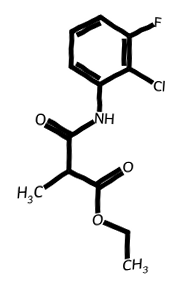 CCOC(=O)C(C)C(=O)Nc1cccc(F)c1Cl